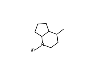 CC1CCN(C(C)C)C2CCCC12